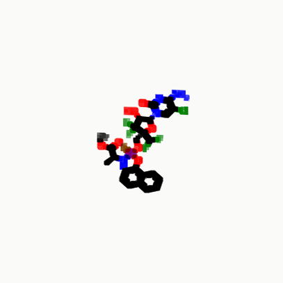 CC(C)OC(=O)[C@H](C)NP(=S)(OC[C@@]1(C(F)F)O[C@@H](n2cc(Cl)c(N)nc2=O)[C@H](O)C1(F)F)Oc1cccc2ccccc12